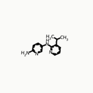 CC(C)c1cccnc1Nc1ccc(N)nc1